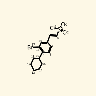 O=S(=O)(Cl)C=Cc1ccc(C2CCCCC2)c(Br)c1